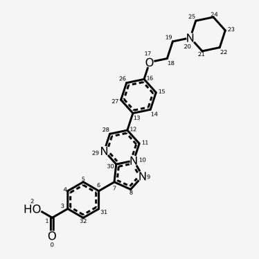 O=C(O)c1ccc(-c2cnn3cc(-c4ccc(OCCN5CCCCC5)cc4)cnc23)cc1